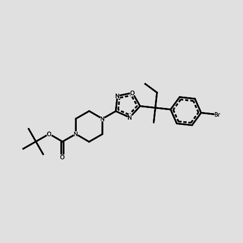 CCC(C)(c1ccc(Br)cc1)c1nc(N2CCN(C(=O)OC(C)(C)C)CC2)no1